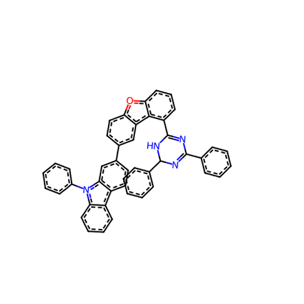 c1ccc(C2=NC(c3ccccc3)NC(c3cccc4oc5ccc(-c6ccc7c8ccccc8n(-c8ccccc8)c7c6)cc5c34)=N2)cc1